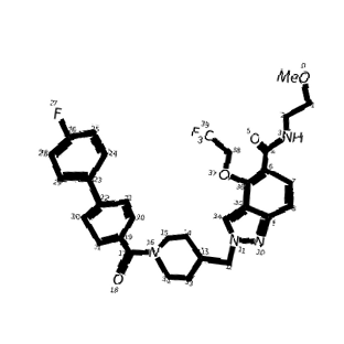 COCCNC(=O)c1ccc2nn(CC3CCN(C(=O)c4ccc(-c5ccc(F)cc5)cc4)CC3)cc2c1OCC(F)(F)F